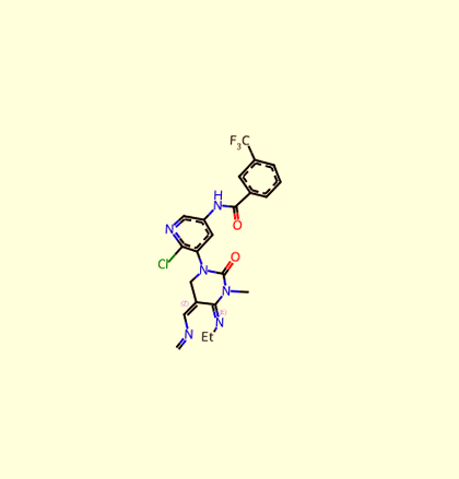 C=N/C=C1/CN(c2cc(NC(=O)c3cccc(C(F)(F)F)c3)cnc2Cl)C(=O)N(C)/C1=N/CC